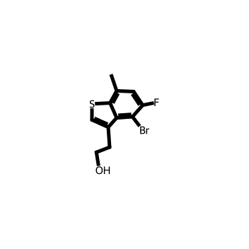 Cc1cc(F)c(Br)c2c(CCO)csc12